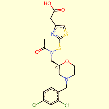 CC(=O)N(C[C@@H]1CN(Cc2ccc(Cl)cc2Cl)CCO1)Sc1nc(CC(=O)O)cs1